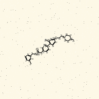 Cc1cccc(CNC(=O)Cc2ccc(-c3ccc(OCCN4CCN(C)CC4)cc3F)nc2)c1